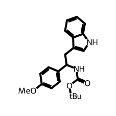 COc1ccc(C(Cc2c[nH]c3ccccc23)NC(=O)OC(C)(C)C)cc1